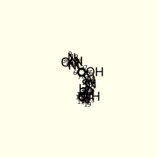 Cn1cnc(-c2ccc(-c3nnc(O[C@@H]4C5CC[C@@](C)(NC5)[C@H]4F)s3)c(O)c2)nc1=O